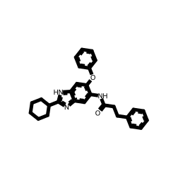 O=C(CCc1ccccc1)Nc1cc2nc(C3CCCCC3)[nH]c2cc1Oc1ccccc1